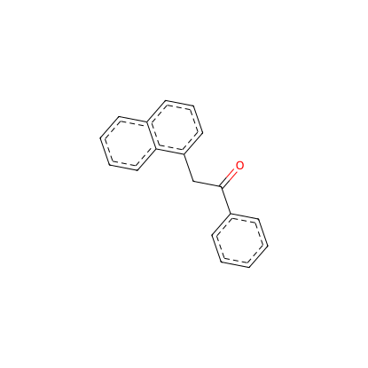 O=C(Cc1cccc2ccccc12)c1ccccc1